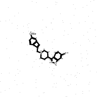 COc1ccc2c(c1)C=C2CN1CCC(c2noc3cc(F)ccc23)CC1